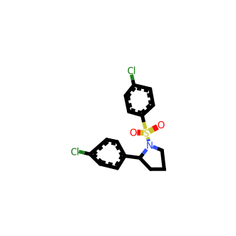 O=S(=O)(c1ccc(Cl)cc1)N1CCCC1c1ccc(Cl)cc1